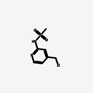 CS(=O)(=O)Nc1cc(CCl)ccn1